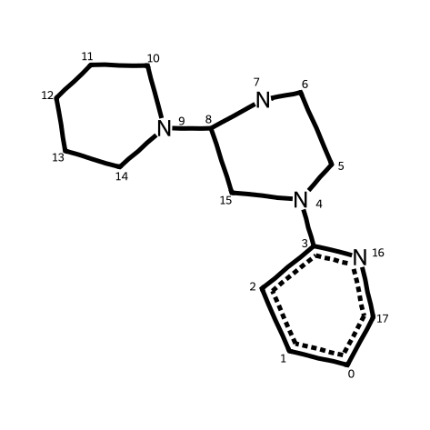 c1ccc(N2CC[N]C(N3CCCCC3)C2)nc1